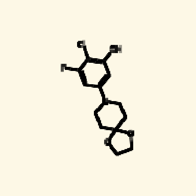 Oc1cc(N2CCC3(CC2)OCCO3)cc(F)c1Cl